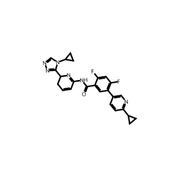 O=C(NC1=NC(c2nncn2C2CC2)CC=C1)c1cc(-c2ccc(C3CC3)nc2)c(F)cc1F